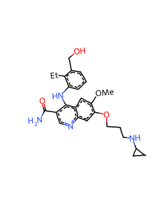 CCc1c(CO)cccc1Nc1c(C(N)=O)cnc2cc(OCCCNC3CC3)c(OC)cc12